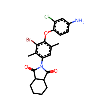 Cc1cc(N2C(=O)C3CCCCC3C2=O)c(C)c(Br)c1Oc1ccc(N)cc1Cl